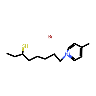 CCC(S)CCCCC[n+]1ccc(C)cc1.[Br-]